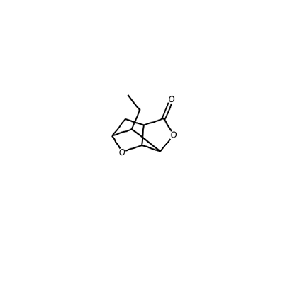 CCC1C2CC3C(=O)OC1C3O2